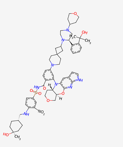 CC(C)(O)c1ccccc1[C@@H]1CN(C2CCOCC2)CCN1C1CC2(CCN(c3ccc(C(=O)NS(=O)(=O)c4ccc(NC[C@H]5CC[C@](C)(O)CC5)c([N+](=O)[O-])c4)c(N4c5cc6cc[nH]c6nc5O[C@H]5COCC[C@@H]54)c3)CC2)C1